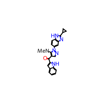 CNc1c(C(=O)c2cc3ccccc3[nH]2)cnn1-c1ccc2[nH]c(C3CC3)nc2c1